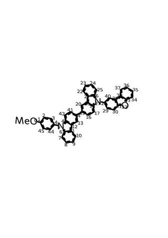 COc1ccc(-n2c3ccccc3c3cc(-c4ccc5c(c4)c4ccccc4n5-c4ccc5oc6ccccc6c5c4)ccc32)cc1